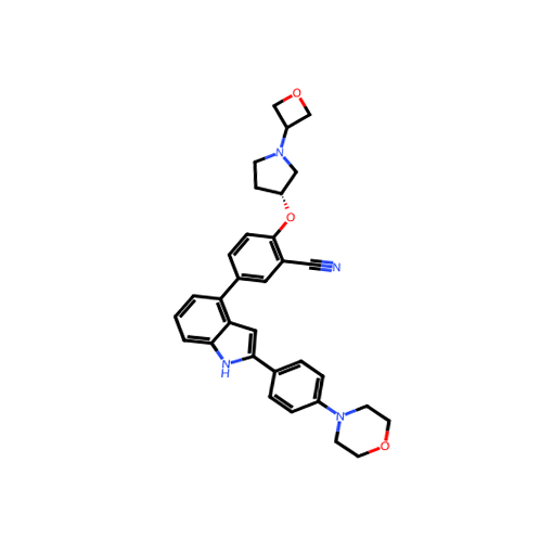 N#Cc1cc(-c2cccc3[nH]c(-c4ccc(N5CCOCC5)cc4)cc23)ccc1O[C@@H]1CCN(C2COC2)C1